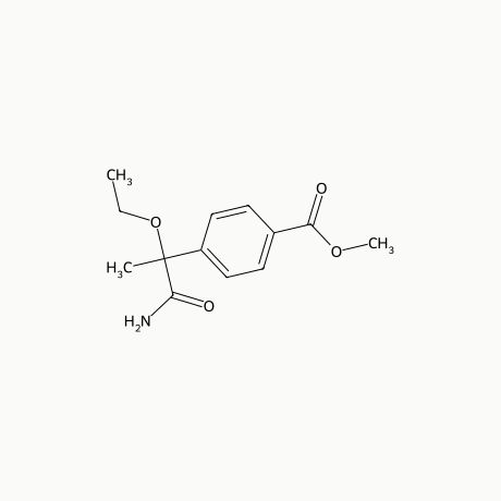 CCOC(C)(C(N)=O)c1ccc(C(=O)OC)cc1